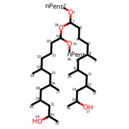 CCCCCOC(CCCC(C)CC(C)CC(C)CC(C)O)OC(CCCC(C)CC(C)CC(C)CC(C)O)OCCCCC